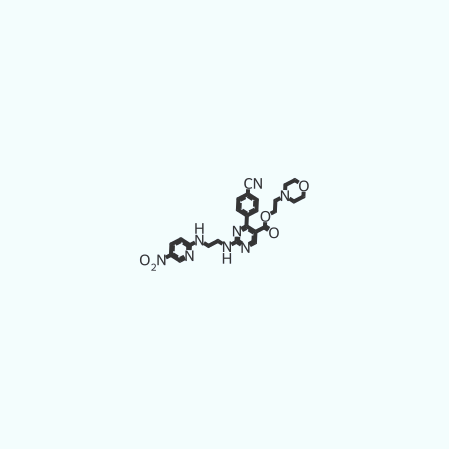 N#Cc1ccc(-c2nc(NCCNc3ccc([N+](=O)[O-])cn3)ncc2C(=O)OCCN2CCOCC2)cc1